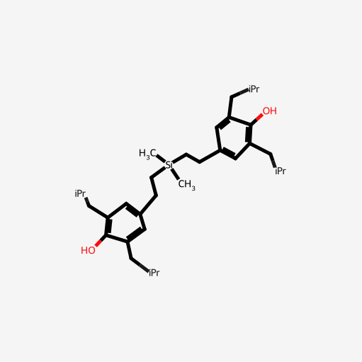 CC(C)Cc1cc(CC[Si](C)(C)CCc2cc(CC(C)C)c(O)c(CC(C)C)c2)cc(CC(C)C)c1O